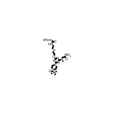 CCCCCC(=O)NCCOCCOc1nc(N(C)CC(N)=O)nc(N2CCN(P(C)(=O)N(C)C)CC2)n1